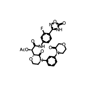 CC(=O)O[C@@H](C(=O)Nc1ccc(-c2noc(=O)[nH]2)c(F)c1)[C@H]1OCCN(c2cccc(N3CCOCC3=O)c2)C1=O